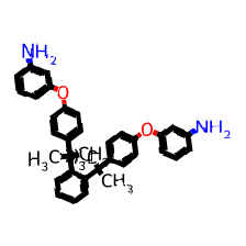 CC(C)(c1ccc(Oc2cccc(N)c2)cc1)c1ccccc1C(C)(C)c1ccc(Oc2cccc(N)c2)cc1